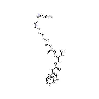 CCCCC/C=C\C/C=C\CCCCCCCC(=O)OCC(CO)COC(=O)CC1C2CC3CC(C2)CC1C3